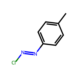 Cc1ccc(N=NCl)cc1